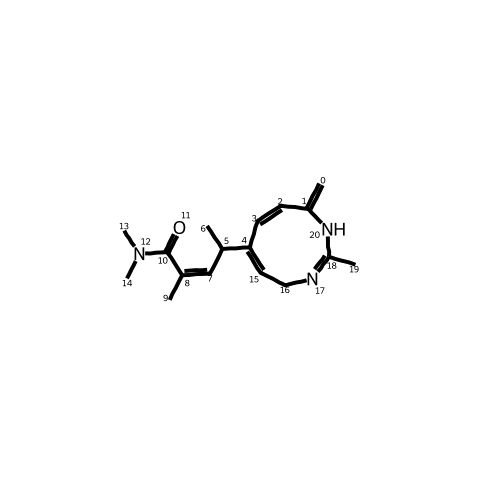 C=C1/C=C\C(C(C)/C=C(/C)C(=O)N(C)C)=C/C/N=C(/C)N1